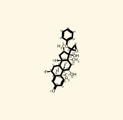 C[C@@H]1C[C@H]2[C@@H]3C[C@H](F)C4=CC(=O)C=C[C@]4(C)[C@@]3(F)[C@@H](O)C[C@]2(C)[C@@]1(O)C1(Oc2ccccc2)CO1